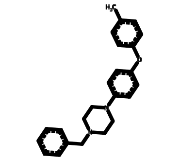 Cc1ccc(Oc2ccc(N3CCN(Cc4ccccc4)CC3)cc2)cc1